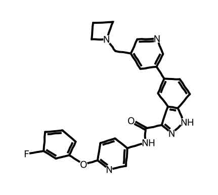 O=C(Nc1ccc(Oc2cccc(F)c2)nc1)c1n[nH]c2ccc(-c3cncc(CN4CCC4)c3)cc12